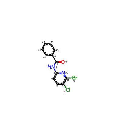 O=C(Nc1ccc(Cl)c(Br)n1)c1ccccc1